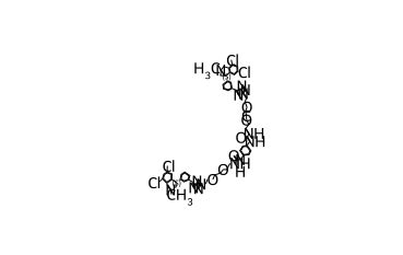 CN1Cc2c(Cl)cc(Cl)cc2[C@H](c2cccc(-c3nnn(CCOCCOCCNC(=O)Nc4ccc(NC(=O)NCCOCCOCCn5nnc(-c6cccc([C@@H]7CN(C)Cc8c(Cl)cc(Cl)cc87)c6)n5)cc4)n3)c2)C1